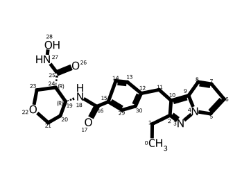 CCc1nn2ccccc2c1Cc1ccc(C(=O)N[C@@H]2CCOC[C@@H]2C(=O)NO)cc1